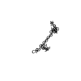 Cc1ncsc1-c1ccc(CNC(=O)[C@@H]2CCCN2C(=O)[C@@H](NC(=O)CCOCCOCCOCCOCCNC(=O)[C@]2(Cc3cccc(Nc4nccs4)n3)CC[C@@H](OC3C=CC=C(Cl)C3F)CC2)C(C)(C)C)cc1